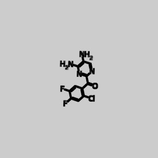 Nc1cnc(C(=O)c2cc(F)c(F)cc2Cl)nc1N